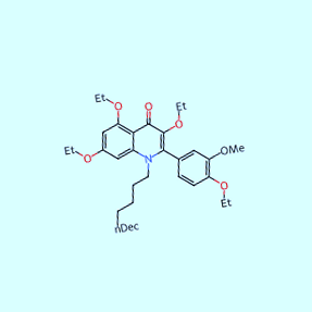 CCCCCCCCCCCCCCn1c(-c2ccc(OCC)c(OC)c2)c(OCC)c(=O)c2c(OCC)cc(OCC)cc21